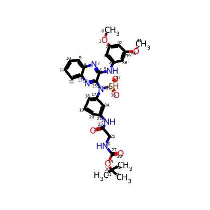 COc1cc(Nc2nc3ccccc3nc2N(c2cccc(NC(=O)CNC(=O)OC(C)(C)C)c2)[SH](=O)=O)cc(OC)c1